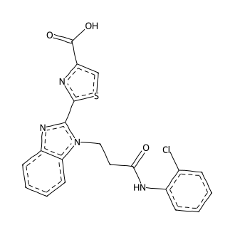 O=C(CCn1c(-c2nc(C(=O)O)cs2)nc2ccccc21)Nc1ccccc1Cl